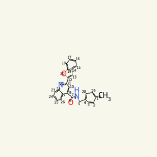 Cc1ccc(CNC(=O)c2cc(-c3cc4ccccc4o3)nc3ccccc23)cc1